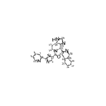 O=C(c1cnc(-c2ccccn2)s1)N1CCc2[nH]cnc2[C@H]1c1cc2ccccc2cn1